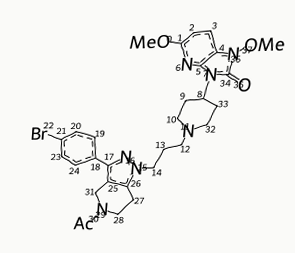 COc1ccc2c(n1)n(C1CCN(CCCn3nc(-c4ccc(Br)cc4)c4c3CCN(C(C)=O)C4)CC1)c(=O)n2OC